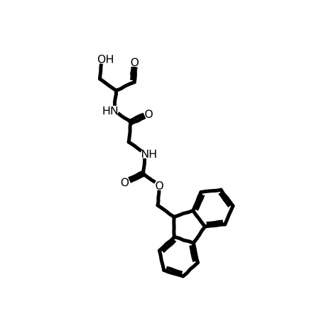 O=CC(CO)NC(=O)CNC(=O)OCC1c2ccccc2-c2ccccc21